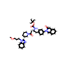 COCCCn1c([C@@H]2CCCN(C(=O)C[C@@H](Cc3ccc(-n4cc5ccccc5cc4=O)cc3)NC(=O)OC(C)(C)C)C2)nc2ccccc21